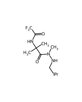 CC(C)CNN(C)C(=O)C(C)(C)NC(=O)C(F)(F)F